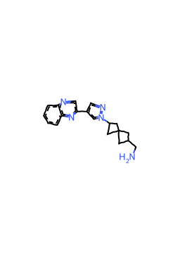 NCC1CC2(C1)CC(n1cc(-c3cnc4ccccc4n3)cn1)C2